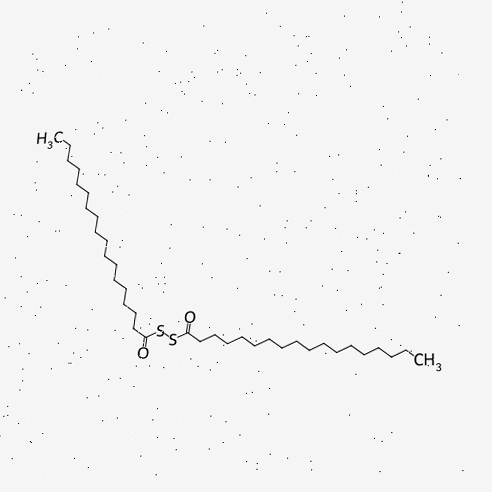 CCCCCCCCCCCCCCCCCC(=O)SSC(=O)CCCCCCCCCCCCCCCCC